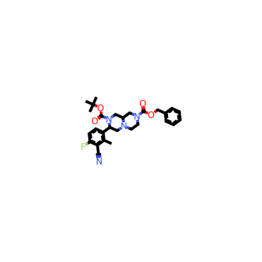 Cc1c(C2CN3CCN(C(=O)OCc4ccccc4)CC3CN2C(=O)OC(C)(C)C)ccc(F)c1C#N